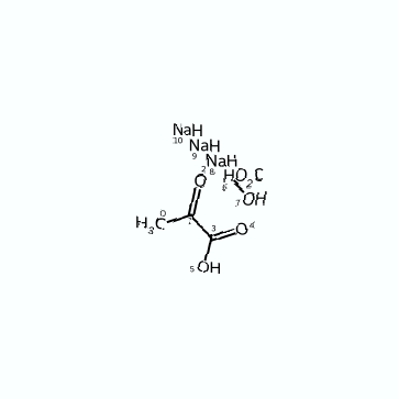 CC(=O)C(=O)O.O=C(O)O.[NaH].[NaH].[NaH]